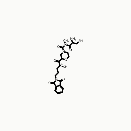 CN(C(=O)C(N)CS)C(=O)N1CCOC(C(=O)[C@@H](S)CCCN2C(=O)c3ccccc3C2=O)C1